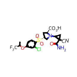 CC(Oc1ccc(S(=O)(=O)[C@@H]2C[C@@H](C(=O)O)N(C3CC3(C#N)C(N)=O)C2)c(Cl)c1)C(F)(F)F